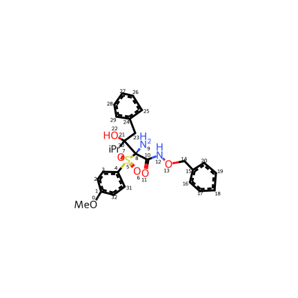 COc1ccc(S(=O)(=O)[C@@](N)(C(=O)NOCc2ccccc2)C(O)(Cc2ccccc2)C(C)C)cc1